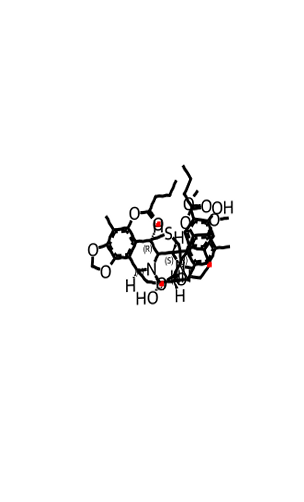 CCCC(=O)Oc1c(C)c2c(c3c1[C@H]1SC[C@]4(NCCc5cc(O)c(OC)cc54)C(=O)OC[C@@H]3N3C1[C@@H]1c4c(cc(C)c(OC)c4OC(=O)CCC)C[C@H]([C@@H]3O)N1C)OCO2